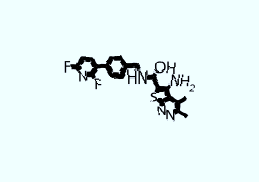 Cc1nnc2sc(C(O)NCc3ccc(-c4ccc(F)nc4F)cc3)c(N)c2c1C